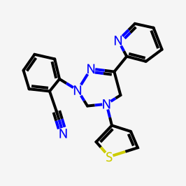 N#Cc1ccccc1N1CN(c2ccsc2)CC(c2ccccn2)=N1